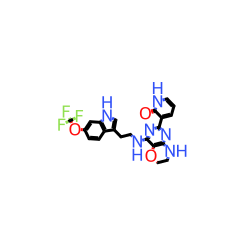 O=c1[nH]cccc1-c1nc2c(c(NCCc3c[nH]c4cc(OC(F)(F)F)ccc34)n1)OCCN2